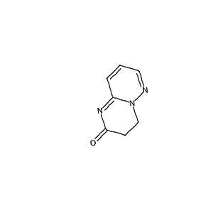 O=C1CCN2N=CC=CC2=N1